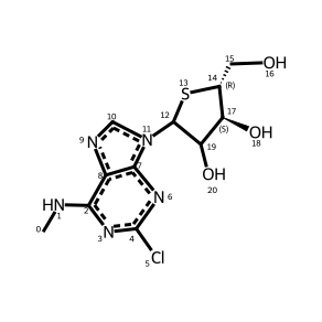 CNc1nc(Cl)nc2c1ncn2C1S[C@H](CO)[C@@H](O)C1O